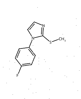 CSc1nccn1-c1ccc(F)cc1